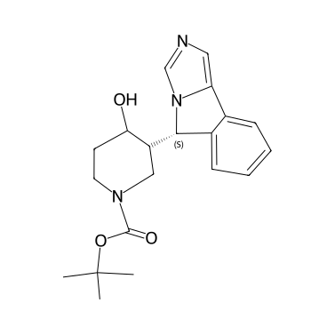 CC(C)(C)OC(=O)N1CCC(O)C([C@H]2c3ccccc3-c3cncn32)C1